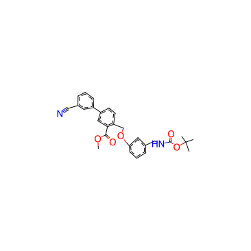 COC(=O)c1cc(-c2cccc(C#N)c2)ccc1COc1cccc(CNC(=O)OC(C)(C)C)c1